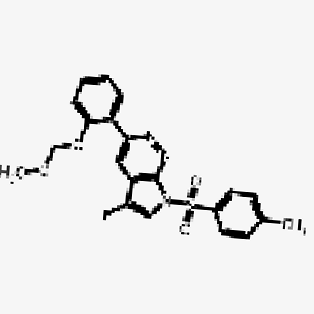 COCOc1ccccc1-c1cc2c(I)cn(S(=O)(=O)c3ccc(C)cc3)c2nn1